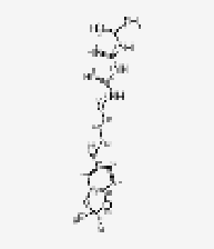 CC(C)NC(=N)NC(=N)NOCCCOc1ccc2c(c1)OC(F)(F)O2